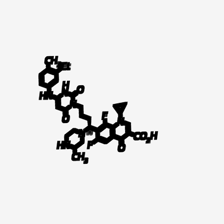 CCc1cc(Nc2cc(=O)n(CCC[C@@H](c3c(F)cc4c(=O)c(C(=O)O)cn(C5CC5)c4c3F)N3CCNC(C)C3)c(=O)[nH]2)ccc1C